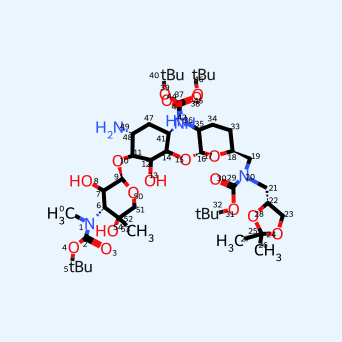 CN(C(=O)OC(C)(C)C)[C@@H]1C(O)[C@@H](OC2C(O)C(O[C@H]3O[C@H](CN(C[C@@H]4COC(C)(C)O4)C(=O)OC(C)(C)C)CCC3NC(=O)OC(C)(C)C)[C@@H](NC(=O)OC(C)(C)C)C[C@H]2N)OCC1(C)O